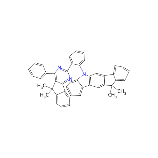 CC1(C)c2ccccc2-c2cc3c(cc21)c1ccccc1n3-c1ccccc1-c1nc(-c2ccccc2)c2c(n1)-c1ccccc1C2(C)C